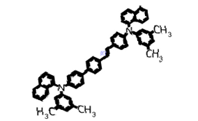 Cc1cc(C)cc(N(c2ccc(/C=C/c3ccc(-c4ccc(N(c5cc(C)cc(C)c5)c5cccc6ccccc56)cc4)cc3)cc2)c2cccc3ccccc23)c1